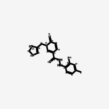 Cc1ccc(NNC(=O)c2ccc(=O)n(CC3=CSCN3)c2)c(F)c1